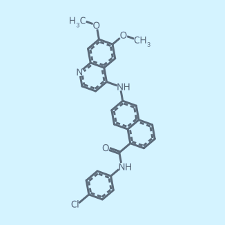 COc1cc2nccc(Nc3ccc4c(C(=O)Nc5ccc(Cl)cc5)cccc4c3)c2cc1OC